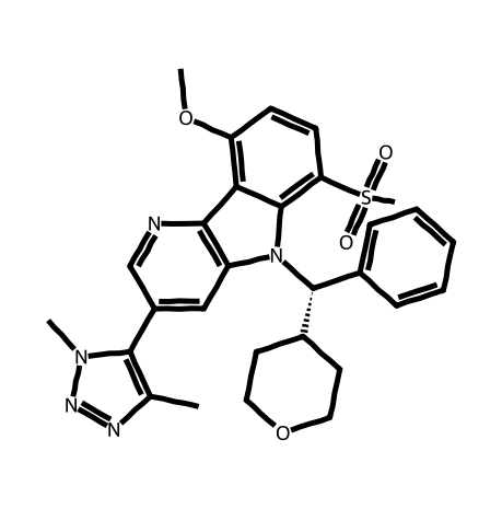 COc1ccc(S(C)(=O)=O)c2c1c1ncc(-c3c(C)nnn3C)cc1n2[C@H](c1ccccc1)C1CCOCC1